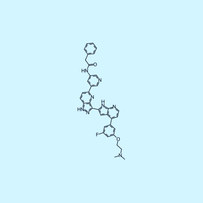 CN(C)CCOc1cc(F)cc(-c2ccnc3[nH]c(-c4n[nH]c5ccc(-c6cncc(NC(=O)Cc7ccccc7)c6)nc45)cc23)c1